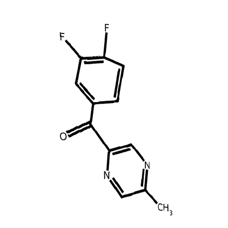 Cc1cnc(C(=O)c2ccc(F)c(F)c2)cn1